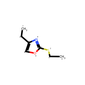 CCSc1nc(CC)co1